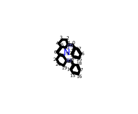 C(=C1\CCCc2cc3c(nc21)/C(=C/c1ccccc1)CCC3)/c1ccccc1